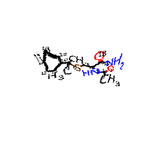 CC(=O)NC(CSC(C)(C)c1ccccc1)C(N)=O